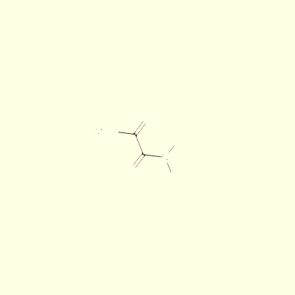 CCN(C(=O)O)C(=O)C(=O)OC